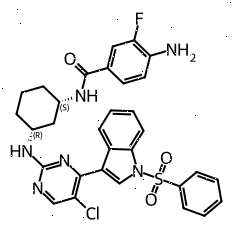 Nc1ccc(C(=O)N[C@H]2CCC[C@@H](Nc3ncc(Cl)c(-c4cn(S(=O)(=O)c5ccccc5)c5ccccc45)n3)C2)cc1F